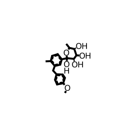 COc1ccc(Cc2cc(C3(O)OC(C)[C@@H](O)C(O)[C@H]3O)ccc2C)cc1